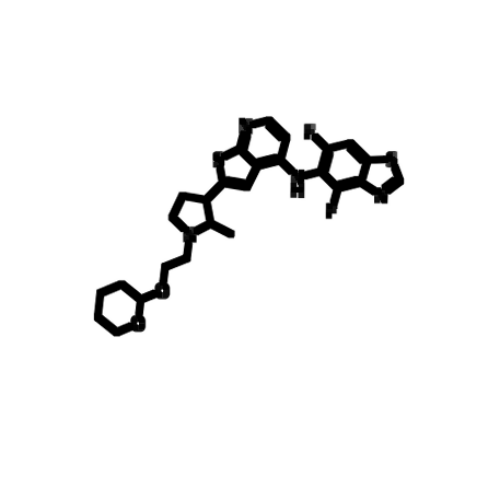 CC1C(c2cc3c(Nc4c(F)cc5scnc5c4F)ccnc3s2)CCN1CCOC1CCCCO1